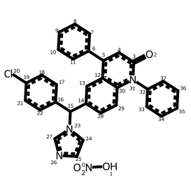 O=[N+]([O-])O.O=c1cc(-c2ccccc2)c2cc(C(c3ccc(Cl)cc3)n3ccnc3)ccc2n1-c1ccccc1